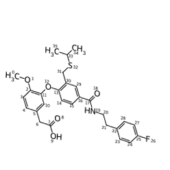 COc1ccc(CC(=O)O)cc1Oc1ccc(C(=O)NCCc2ccc(F)cc2)cc1CSC(C)C